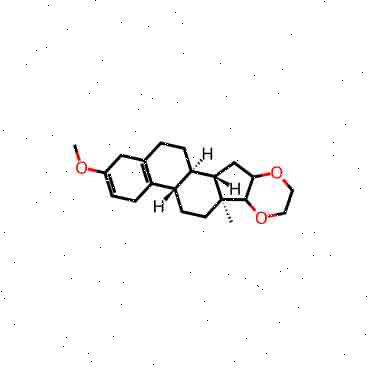 COC1=CCC2=C(CC[C@@H]3[C@@H]2CC[C@]2(C)C4OCCOC4C[C@@H]32)C1